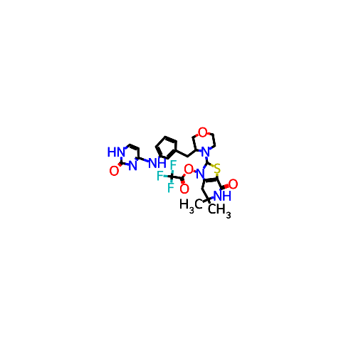 CC1(C)CC2=C(SC(N3CCOCC3Cc3cccc(Nc4cc[nH]c(=O)n4)c3)N2OC(=O)C(F)(F)F)C(=O)N1